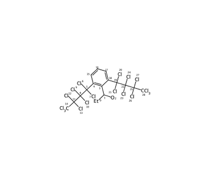 CCC([O])c1c(C(Cl)(Cl)C(Cl)(Cl)C(Cl)(Cl)C(Cl)(Cl)Cl)cccc1C(Cl)(Cl)C(Cl)(Cl)C(Cl)(Cl)C(Cl)(Cl)Cl